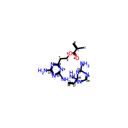 C=C(C)C(=O)OCCc1nc(N)nc(N)n1.C=CC1(N)N=C(N)N=CN1